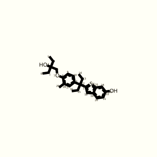 CCC(O)(CC)COc1ccc(C(CC)(CC)c2cc3ccc(O)cc3s2)cc1C